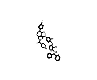 CN1CCC(C(=O)OCC2=C(C(=O)Nc3ccc(Oc4ccnc(NC(c5ccccc5)c5ccccc5)c4Cl)c(F)c3)C(=O)C(c3ccc(F)cc3)C=N2)CC1